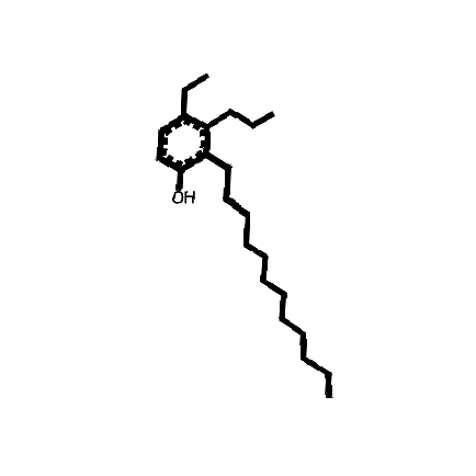 CCCCCCCCCCCCc1c(O)ccc(CC)c1CCC